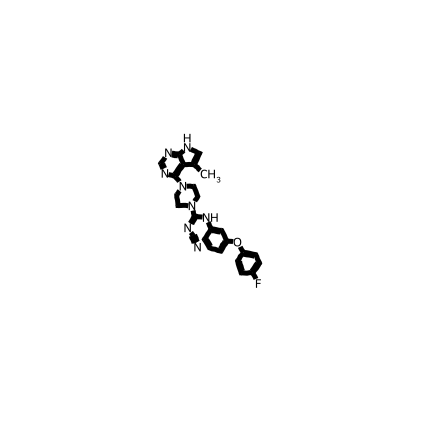 Cc1c[nH]c2ncnc(N3CCN(/C(=N/C#N)Nc4cccc(Oc5ccc(F)cc5)c4)CC3)c12